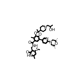 CSc1cc(C)[nH]c(=O)c1CNC(=O)c1cc(-c2ccc(N3C[C@@H](C)O[C@@H](C)C3)nc2)c2c(c1C)OC(C)(C1CCN(CC(C)O)CC1)O2